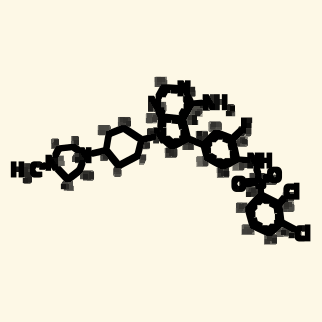 CN1CCN(C2CCC(n3cc(-c4ccc(NS(=O)(=O)c5cccc(Cl)c5Cl)c(F)c4)c4c(N)ncnc43)CC2)CC1